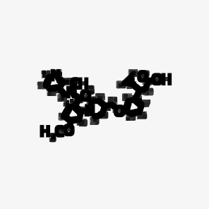 COc1ccc(C(=O)N(C)Cc2cccnc2)c(N2CCC(COc3cccc(C(CC(=O)O)C4CC4)c3)CC2)c1